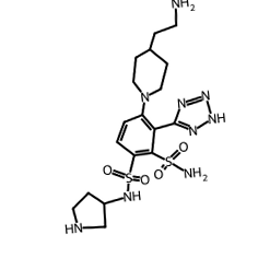 NCCC1CCN(c2ccc(S(=O)(=O)NC3CCNC3)c(S(N)(=O)=O)c2-c2nn[nH]n2)CC1